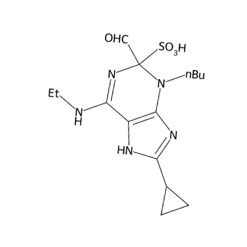 CCCCN1c2nc(C3CC3)[nH]c2C(NCC)=NC1(C=O)S(=O)(=O)O